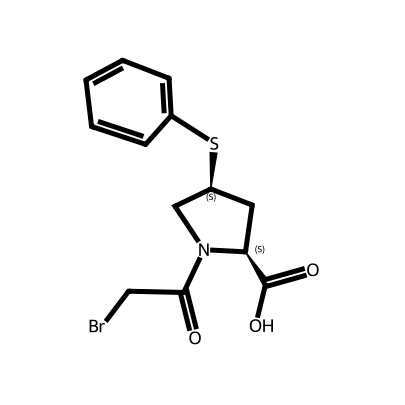 O=C(O)[C@@H]1C[C@H](Sc2ccccc2)CN1C(=O)CBr